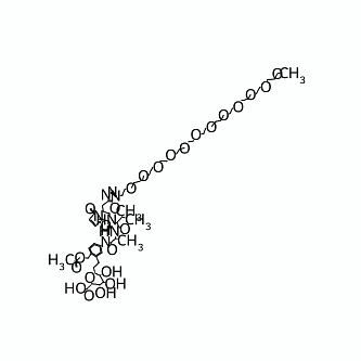 COCCOCCOCCOCCOCCOCCOCCOCCOCCOCCOCCOCCn1cc(CC(C(=O)N[C@H](C(=O)N[C@@H](C)C(=O)Nc2ccc(COC(C)=O)c(CC[C@@H]3O[C@H](C(=O)O)[C@@H](O)[C@H](O)[C@H]3O)c2)C(C)C)N2C(=O)C=CC2=O)nn1